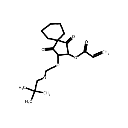 C=CC(=O)OC1C(=O)C2(CCCCC2)C(=O)C1OCOCC(C)(C)C